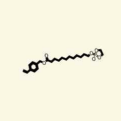 C=Cc1ccc(COC(=O)CCCCCCCCCCCOP2(=O)OCCO2)cc1